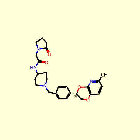 Cc1ccc2c(n1)O[C@@H](c1ccc(CN3CCC(NC(=O)CN4CCCC4=O)CC3)cc1)CO2